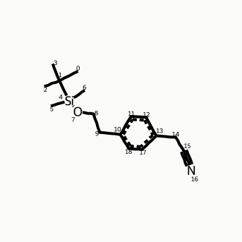 CC(C)(C)[Si](C)(C)OCCc1ccc(CC#N)cc1